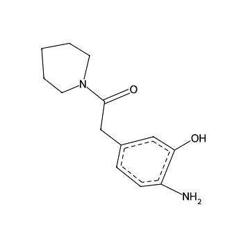 Nc1ccc(CC(=O)N2CCCCC2)cc1O